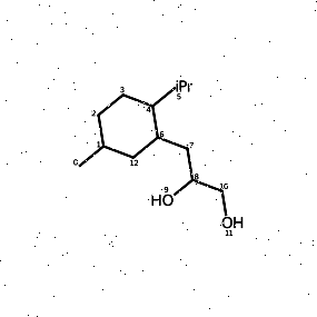 CC1CCC(C(C)C)C([CH]C(O)CO)C1